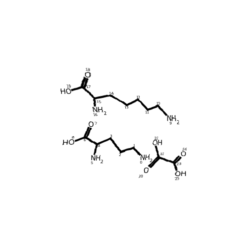 NCCCC(N)C(=O)O.NCCCCCC(N)C(=O)O.O=C(O)C(=O)O